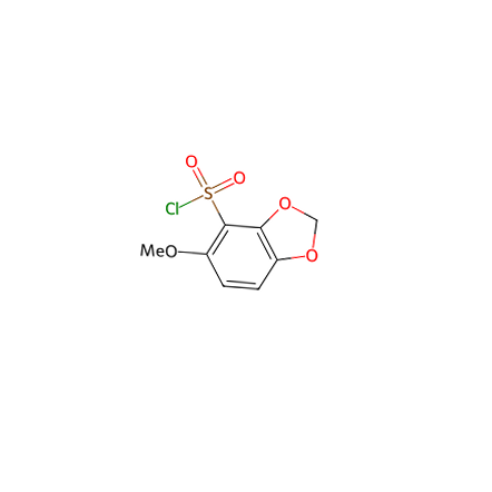 COc1ccc2c(c1S(=O)(=O)Cl)OCO2